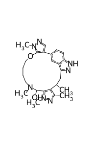 Cc1nn(C)c2c1C(C)Cc1n[nH]c3ccc(cc13)-c1cnn(C)c1OCCCCN(C)C2O